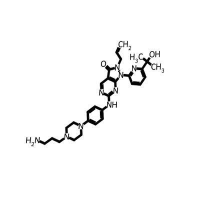 C=CCn1c(=O)c2cnc(Nc3ccc(N4CCN(CCCN)CC4)cc3)nc2n1-c1cccc(C(C)(C)O)n1